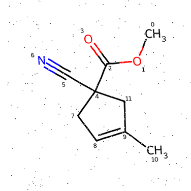 COC(=O)C1(C#N)CC=C(C)C1